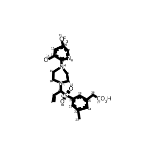 C=CC(N1CCN(c2ncc(C(F)(F)F)cc2Cl)CC1)S(=O)(=O)c1cc(C)cc(CC(=O)O)c1